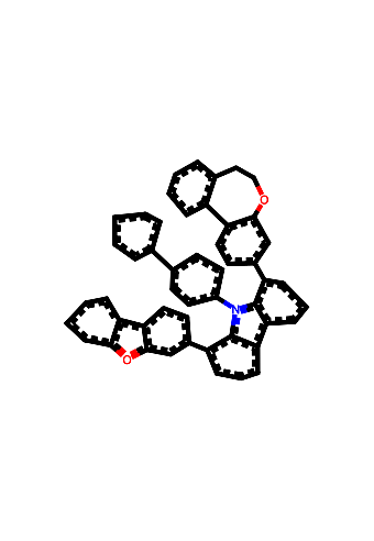 c1ccc(-c2ccc(-n3c4c(-c5ccc6c(c5)OCCc5ccccc5-6)cccc4c4cccc(-c5ccc6c(c5)oc5ccccc56)c43)cc2)cc1